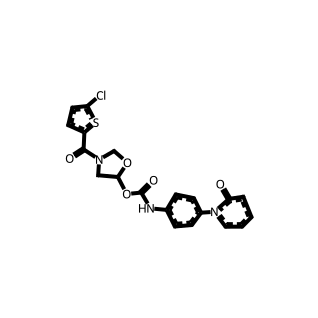 O=C(Nc1ccc(-n2ccccc2=O)cc1)OC1CN(C(=O)c2ccc(Cl)s2)CO1